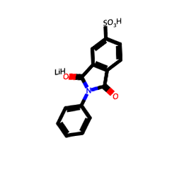 O=C1c2ccc(S(=O)(=O)O)cc2C(=O)N1c1ccccc1.[LiH]